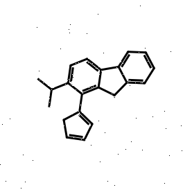 CC(C)c1ccc2c(c1C1=CC=CC1)[CH]c1ccccc1-2